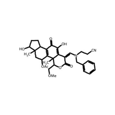 COCC1OC(=O)C(=CN(CCC#N)Cc2ccccc2)C2=C(O)C(=O)C3=C(C(OC(C)=O)CC4(C)C(O)CCC34)C21C